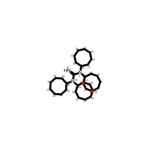 N=C(N(C1CCCCCCC1)C1CCCCCCC1)N(C1CCCCCCC1)C1CCCCCCC1